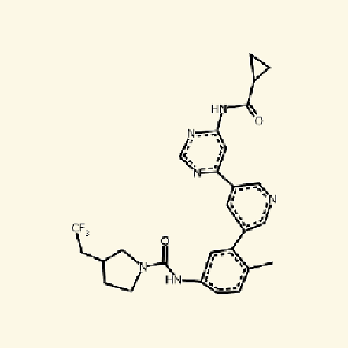 Cc1ccc(NC(=O)N2CCC(CC(F)(F)F)C2)cc1-c1cncc(-c2cc(NC(=O)C3CC3)ncn2)c1